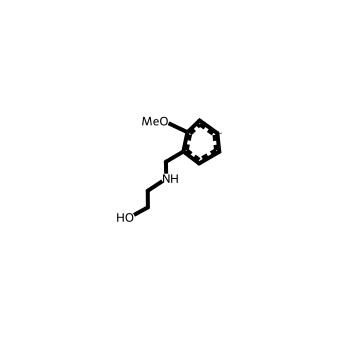 COc1c[c]ccc1CNCCO